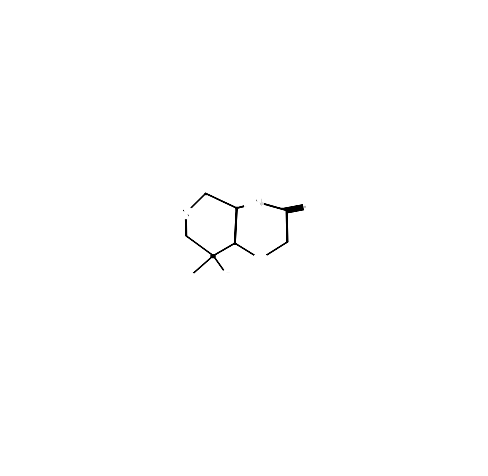 O=C1COC2C(CNCC2(F)F)N1